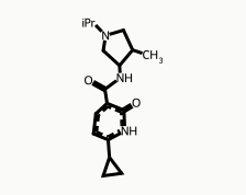 CC1CN(C(C)C)CC1NC(=O)c1ccc(C2CC2)[nH]c1=O